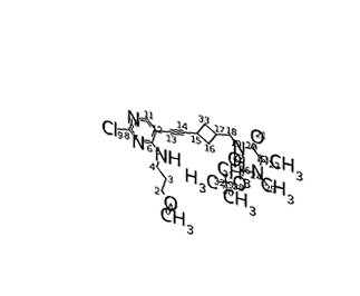 COCCCNc1nc(Cl)ncc1C#CC1CC(CNC(=O)[C@H](C)N(C)C(=O)OC(C)(C)C)C1